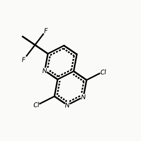 CC(F)(F)c1ccc2c(Cl)nnc(Cl)c2n1